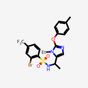 CCn1c(C(C)NS(=O)(=O)c2ccc(C(F)(F)F)cc2Br)cnc1Oc1ccc(C)cc1